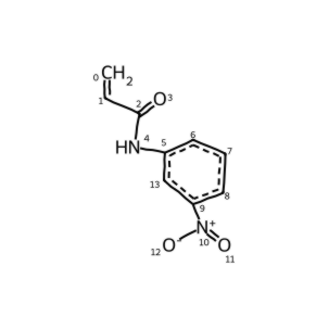 C=CC(=O)Nc1cccc([N+](=O)[O-])c1